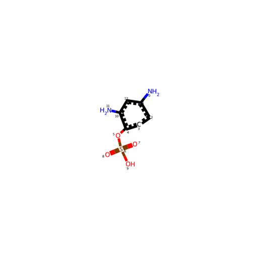 Nc1ccc(OS(=O)(=O)O)c(N)c1